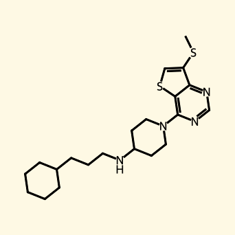 CSc1csc2c(N3CCC(NCCCC4CCCCC4)CC3)ncnc12